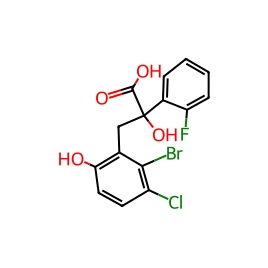 O=C(O)C(O)(Cc1c(O)ccc(Cl)c1Br)c1ccccc1F